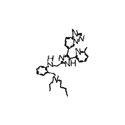 CCCCN(CC)Cc1ccccc1NCc1nc(-c2ccc3ncnn3c2)c(-c2cccc(C)n2)[nH]1